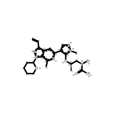 C=Cc1nn(C2CCCCO2)c2c(C)nc(-c3cnn(C)c3O[C@H](C)CN(CC)C(=O)C(F)(F)F)cc12